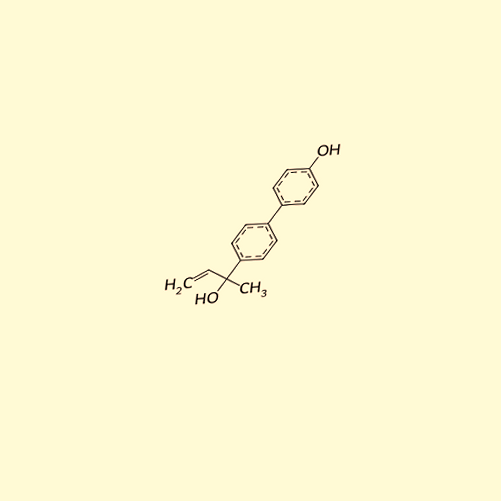 C=CC(C)(O)c1ccc(-c2ccc(O)cc2)cc1